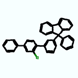 Clc1cc(-c2ccccc2)ccc1-c1cccc(C2(c3ccccc3)c3ccccc3-c3ccccc32)c1